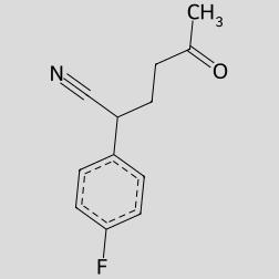 CC(=O)CCC(C#N)c1ccc(F)cc1